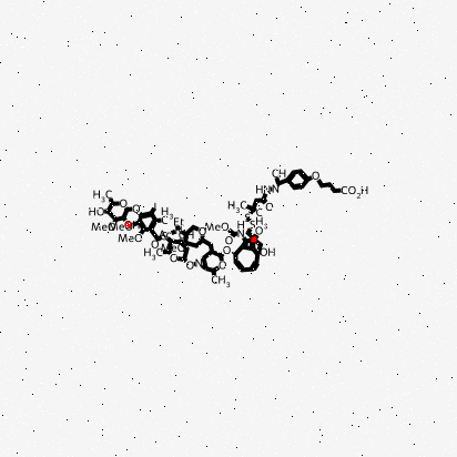 CCN(C(C)=O)C1COC(CC2C(O[C@H]3/C=C\C#C[C@]4(O)CC(=O)C(NC(=O)OC)=C3/C4=C\CSSC(C)(C)CC(=O)N/N=C(\C)c3ccc(OCCCC(=O)O)cc3)OC(C)C3C2N3OC2CC(O)C(SC(=O)c3c(C)c(I)c(OC4OC(C)C(O)C(OC)C4O)c(OC)c3OC)C(C)O2)CC1OC